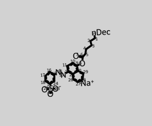 CCCCCCCCCCCCCCCC(=O)Oc1ccc(N=Nc2cccc(S(=O)(=O)[O-])c2)c2ccccc12.[Na+]